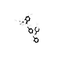 Cc1ccc2c(NCc3ccc(N(Cc4ccccc4F)C(=O)C4CCNCC4)cc3)nc(N(C)C)nc2c1